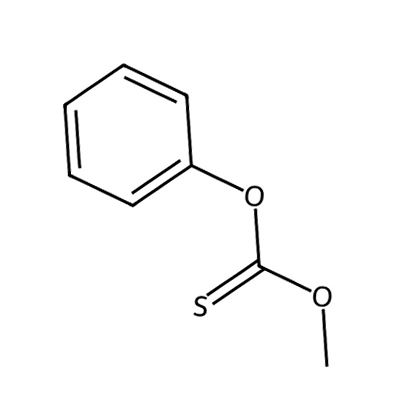 COC(=S)Oc1ccccc1